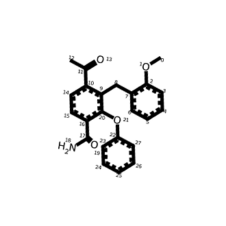 COc1ccccc1Cc1c(C(C)=O)ccc(C(N)=O)c1Oc1ccccc1